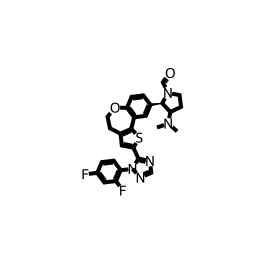 CN(C)C1CCN(C=O)[C@@H]1c1ccc2c(c1)-c1sc(-c3ncnn3-c3ccc(F)cc3F)cc1CCO2